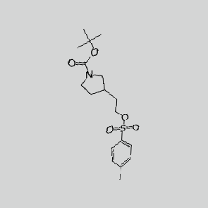 Cc1ccc(S(=O)(=O)OCCC2CCN(C(=O)OC(C)(C)C)C2)cc1